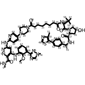 CNC(=O)c1nnc(Nc2ccc(N3CCN(C(=O)CCCCCCC(=O)N[C@H](C(=O)N4C[C@H](O)C[C@H]4C(=O)N[C@@H](C)c4ccc(-c5scnc5C)cc4)C(C)(C)C)CC3)cn2)cc1Nc1cccc(-c2ncn(C)n2)c1OC